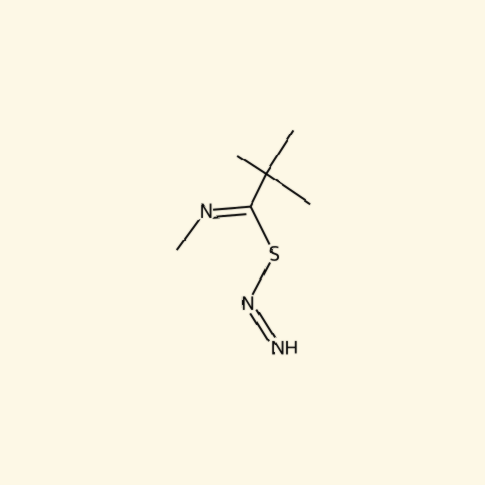 C/N=C(\SN=N)C(C)(C)C